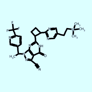 CC(c1ccc(C(F)(F)F)nc1)n1nc(C#N)c2c(=O)[nH]c(C3CCC3c3ncc(CC[Si](C)(C)C)cn3)nc21